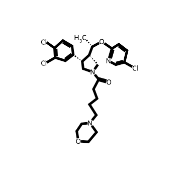 C[C@H](Oc1ccc(Cl)cn1)[C@@H]1CN(C(=O)CCCCN2CCOCC2)C[C@@H]1c1ccc(Cl)c(Cl)c1